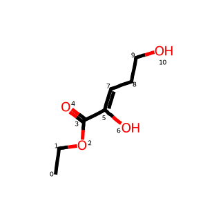 CCOC(=O)C(O)=CCCO